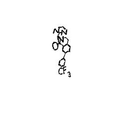 O=C1c2cc(-c3ccc(C(F)(F)F)cc3)ccc2CCN1Cc1ncccn1